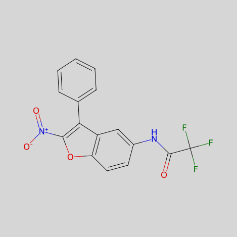 O=C(Nc1ccc2oc([N+](=O)[O-])c(-c3ccccc3)c2c1)C(F)(F)F